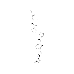 CCOC(=O)CNC(=O)N(C)C1CCN(C[C@@H]2CCCN2C(=O)CN2CCC[C@H](NS(=O)(=O)/C=C/c3ccc(Cl)s3)C2=O)C1